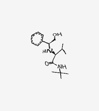 CC(C)[C@H](N[C@H](CO)c1ccccc1)[C](=O)[AlH][C](C)(C)C